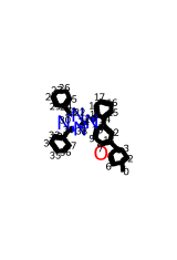 Cc1ccc2c(c1)oc1cc3c(cc12)c1ccccc1n3-c1nc(C2=CCCC=C2)nc(-c2ccccc2)n1